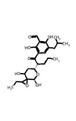 CCCC(C(=O)c1cc(CC(C)C)c(O)c(C=O)c1O)[C@H]1CC(O)C2(OC2CC)[C@H](O)O1